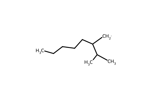 [CH2]C(CCCCC)C(C)C